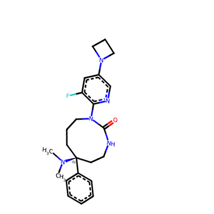 CN(C)[C@@]1(c2ccccc2)CCCN(c2ncc(N3CCC3)cc2F)C(=O)NCC1